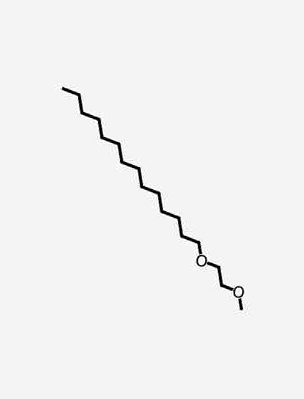 CCCCCCCCCCCCCCOCCOC